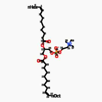 CCCCCC/C=C\CCCCCCCC(=O)O[C@H](COC(=O)CCCCCCC/C=C\CCCCCCCC)COP(=O)([O-])OCC[N+](C)(C)C